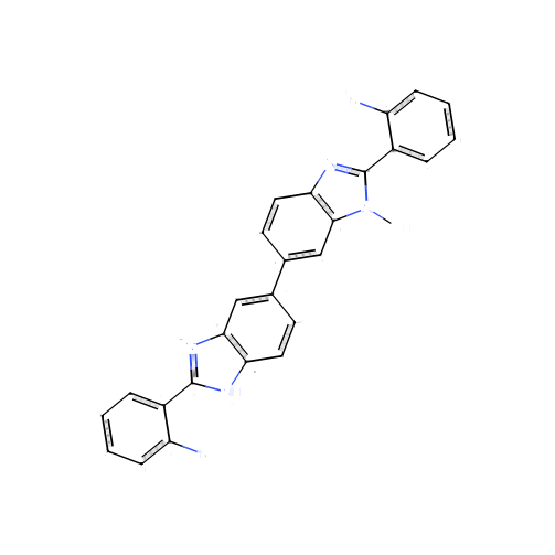 Cn1c(-c2ccccc2N)nc2ccc(-c3ccc4[nH]c(-c5ccccc5N)nc4c3)cc21